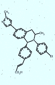 CCc1ccc(N2C(C)Cc3cc(-c4cnn(C)c4)ccc3[C@@H]2c2ccc(/C=C/C(=O)O)cc2)cc1